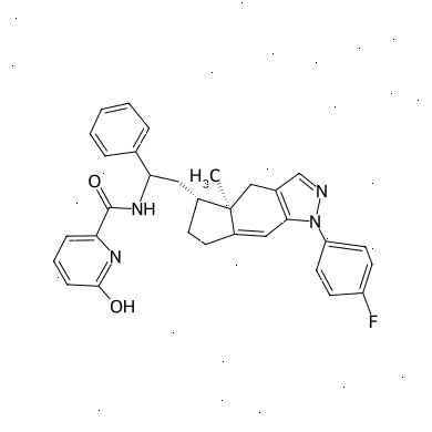 C[C@]12Cc3cnn(-c4ccc(F)cc4)c3C=C1CC[C@@H]2CC(NC(=O)c1cccc(O)n1)c1ccccc1